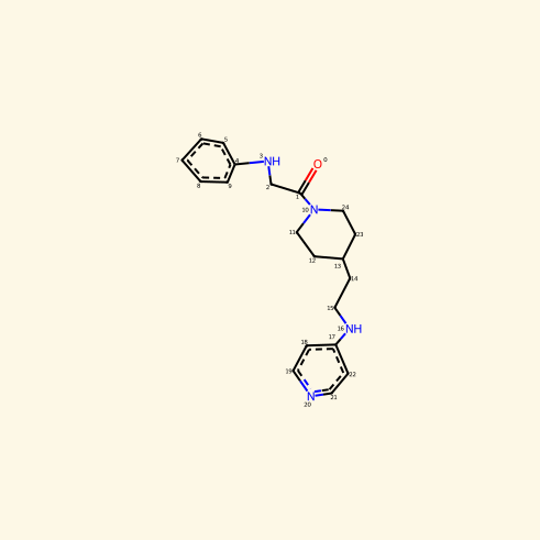 O=C(CNc1ccccc1)N1CCC(CCNc2ccncc2)CC1